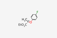 CCOC(=O)[C@H](C)Oc1ccc(F)cc1